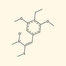 CCc1c(OC)cc(C=C(SC)[S+](C)[O-])cc1OC